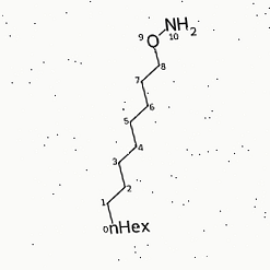 CCCCCCCCCCCCCCON